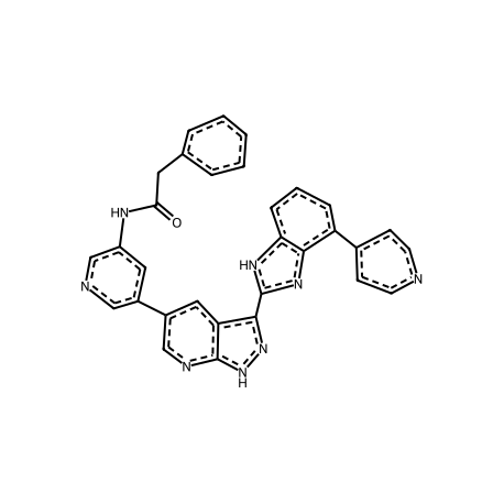 O=C(Cc1ccccc1)Nc1cncc(-c2cnc3[nH]nc(-c4nc5c(-c6ccncc6)cccc5[nH]4)c3c2)c1